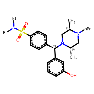 CCCN1C[C@H](C)N([C@H](c2ccc(S(=O)(=O)N(CC)CC)cc2)c2cccc(O)c2)C[C@H]1C